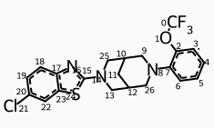 FC(F)(F)Oc1[c]cccc1N1CC2CC(CN(c3nc4ccc(Cl)cc4s3)C2)C1